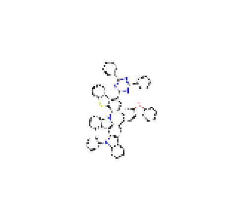 c1ccc(-c2nc(-c3ccccc3)nc(-c3ccc(-n4c5ccccc5c5c4c(-c4ccc6oc7ccccc7c6c4)cc4c6ccccc6n(-c6ccccc6)c45)c4sc5ccccc5c34)n2)cc1